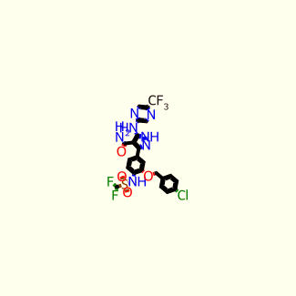 NC(=O)c1c(-c2ccc(NS(=O)(=O)C(F)F)c(OCc3ccc(Cl)cc3)c2)n[nH]c1Nc1cnc(C(F)(F)F)cn1